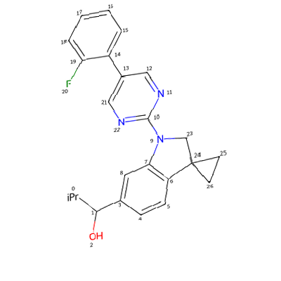 CC(C)C(O)c1ccc2c(c1)N(c1ncc(-c3ccccc3F)cn1)CC21CC1